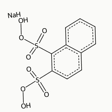 O=S(=O)(OO)c1ccc2ccccc2c1S(=O)(=O)OO.[NaH]